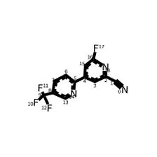 N#Cc1cc(-c2ccc(C(F)(F)F)cn2)cc(F)n1